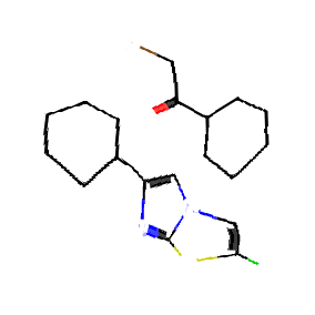 Clc1cn2cc(C3CCCCC3)nc2s1.O=C(CBr)C1CCCCC1